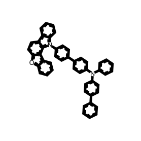 c1ccc(-c2ccc(N(c3ccccc3)c3ccc(-c4ccc(-n5c6ccccc6c6ccc7oc8ccccc8c7c65)cc4)cc3)cc2)cc1